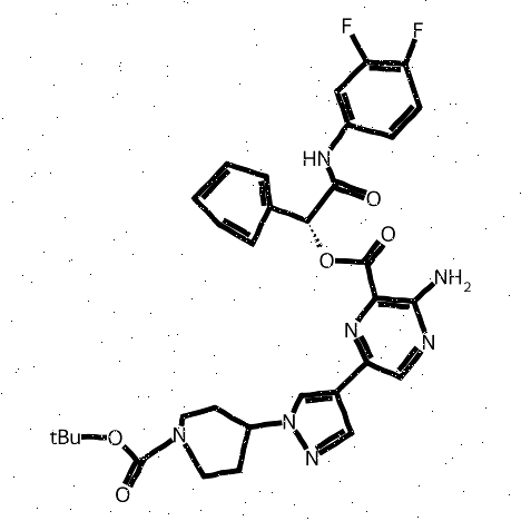 CC(C)(C)OC(=O)N1CCC(n2cc(-c3cnc(N)c(C(=O)O[C@@H](C(=O)Nc4ccc(F)c(F)c4)c4ccccc4)n3)cn2)CC1